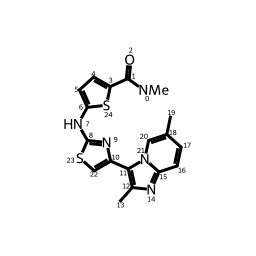 CNC(=O)c1ccc(Nc2nc(-c3c(C)nc4ccc(C)cn34)cs2)s1